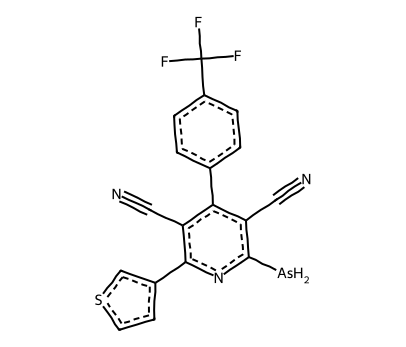 N#Cc1c([AsH2])nc(-c2ccsc2)c(C#N)c1-c1ccc(C(F)(F)F)cc1